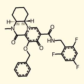 CN1C(=O)c2c(OCc3ccccc3)c(=O)c(C(=O)NCc3c(F)cc(F)cc3F)cn2[C@H]2CCCC[C@@H]21